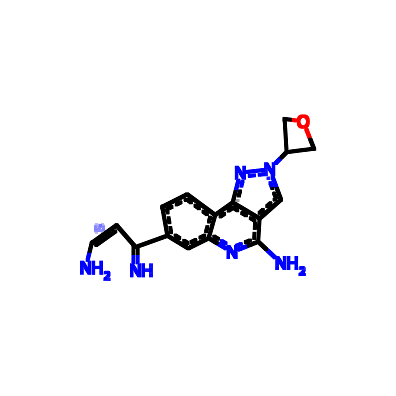 N=C(/C=C\N)c1ccc2c(c1)nc(N)c1cn(C3COC3)nc12